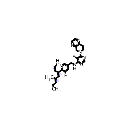 C\C=C/C(=C\C(C)=C\CC)c1ncc(CNc2ncnc(N3CCc4nccnc4C3)c2F)cc1F